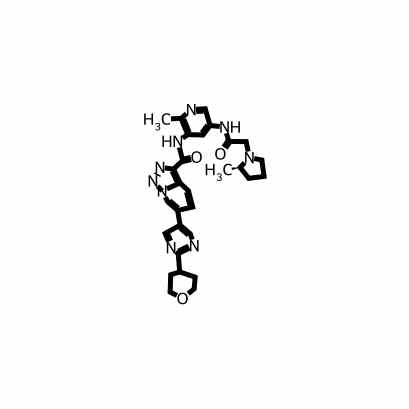 Cc1ncc(NC(=O)CN2CCC[C@@H]2C)cc1NC(=O)c1nnn2cc(-c3cnc(C4CCOCC4)nc3)ccc12